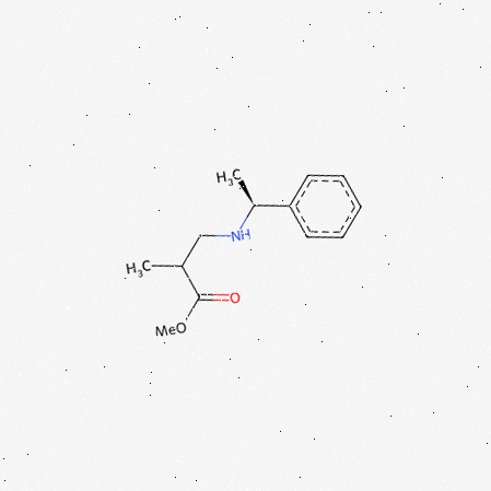 COC(=O)C(C)CN[C@@H](C)c1ccccc1